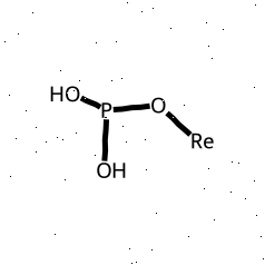 OP(O)[O][Re]